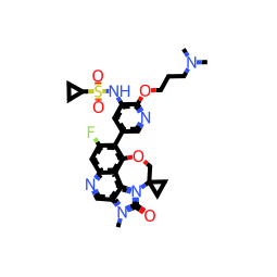 CN(C)CCCOc1ncc(-c2c(F)cc3ncc4c5c3c2OCC2(CC2)n5c(=O)n4C)cc1NS(=O)(=O)C1CC1